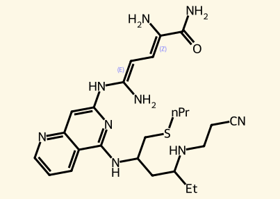 CCCSCC(CC(CC)NCCC#N)Nc1nc(N/C(N)=C/C=C(\N)C(N)=O)cc2ncccc12